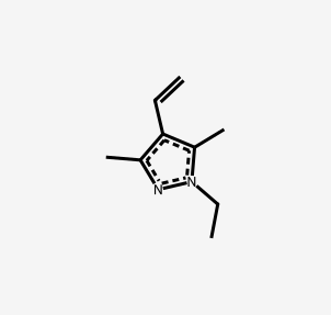 C=Cc1c(C)nn(CC)c1C